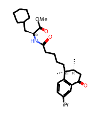 COC(=O)[C@H](CC1CCCCC1)NC(=O)CCCC[C@]1(C)c2ccc(C(C)C)cc2C(=O)C[C@H]1C